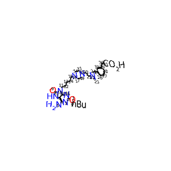 CCCCOc1nc(N)c2[nH]c(=O)n(CCCCCN3CCN(CCN(C)Cc4cccc(CC(=O)O)c4)CC3)c2n1